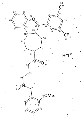 COc1ccccc1CN(C)CCCC(=O)N1CCC(c2ccccc2)N(C(=O)c2cc(C(F)(F)F)cc(C(F)(F)F)c2)CC1.Cl